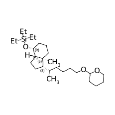 CC[Si](CC)(CC)O[C@@H]1CCC[C@]2(C)[C@@H]1CC[C@H]2C(C)CCCCOC1CCCCO1